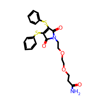 NC(=O)CCOCCOCCN1C(=O)C(Sc2ccccc2)=C(Sc2ccccc2)C1=O